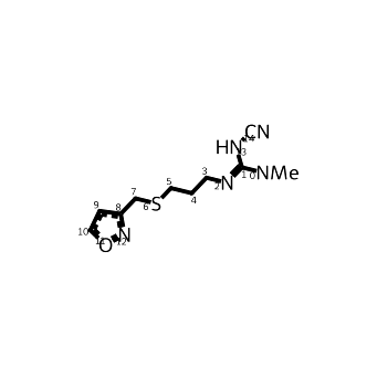 CN/C(=N/CCCSCc1ccon1)NC#N